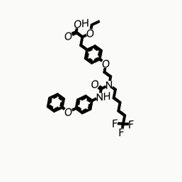 CCOC(Cc1ccc(OCCN(CCCCCC(F)(F)F)C(=O)Nc2ccc(Oc3ccccc3)cc2)cc1)C(=O)O